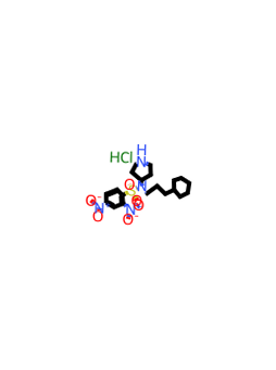 Cl.O=[N+]([O-])c1ccc(S(=O)(=O)N(CCCC2CCCCC2)C2CCNCC2)c([N+](=O)[O-])c1